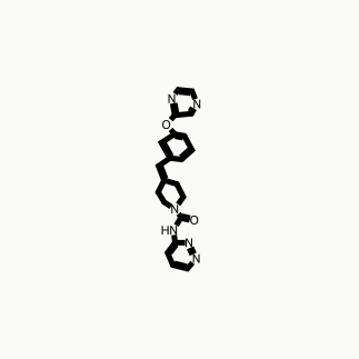 O=C(Nc1cccnn1)N1CCC(=Cc2cccc(Oc3cnccn3)c2)CC1